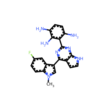 Cn1cc(-c2nc(-c3c(N)ccc(N)c3N)nc3[nH]ccc23)c2cc(F)ccc21